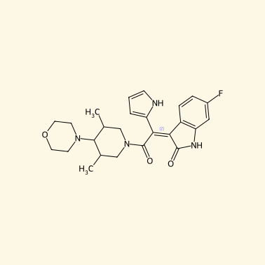 CC1CN(C(=O)/C(=C2\C(=O)Nc3cc(F)ccc32)c2ccc[nH]2)CC(C)C1N1CCOCC1